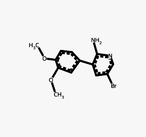 COc1ccc(-c2cc(Br)cnc2N)cc1OC